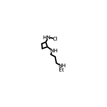 CCNCCCNC1CCC1NCl